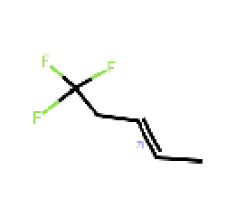 C/C=[C]/CC(F)(F)F